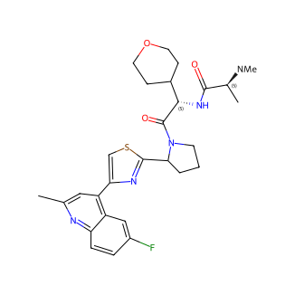 CN[C@@H](C)C(=O)N[C@H](C(=O)N1CCCC1c1nc(-c2cc(C)nc3ccc(F)cc23)cs1)C1CCOCC1